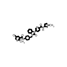 Cc1ncc(Cl)cc1C(=O)NC1CCC(Cn2c(=O)n(-c3ccc(C(=O)Nc4ccn(C)n4)nc3)c3ccccc32)CC1